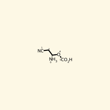 N.N#CCCOC(=O)O